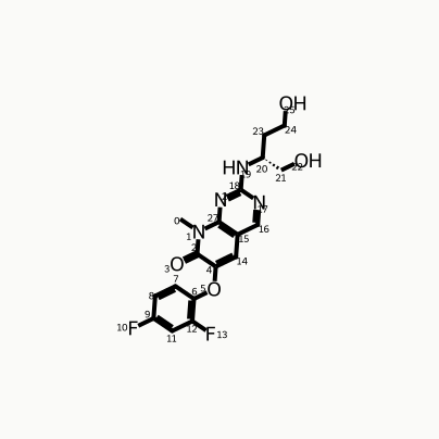 Cn1c(=O)c(Oc2ccc(F)cc2F)cc2cnc(N[C@@H](CO)CCO)nc21